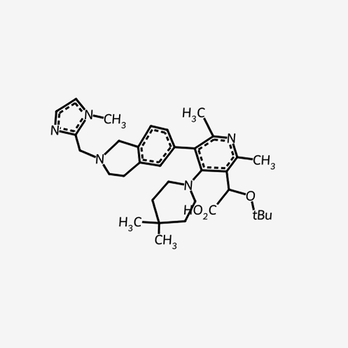 Cc1nc(C)c(C(OC(C)(C)C)C(=O)O)c(N2CCC(C)(C)CC2)c1-c1ccc2c(c1)CCN(Cc1nccn1C)C2